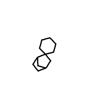 C1CCC2(CC1)CC1CCC2C1